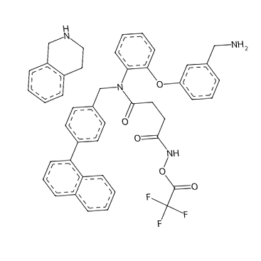 NCc1cccc(Oc2ccccc2N(Cc2ccc(-c3cccc4ccccc34)cc2)C(=O)CCC(=O)NOC(=O)C(F)(F)F)c1.c1ccc2c(c1)CCNC2